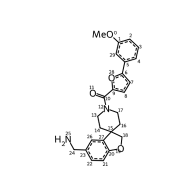 COc1cccc(-c2ccc(C(=O)N3CCC4(CC3)COc3ccc(CN)cc34)o2)c1